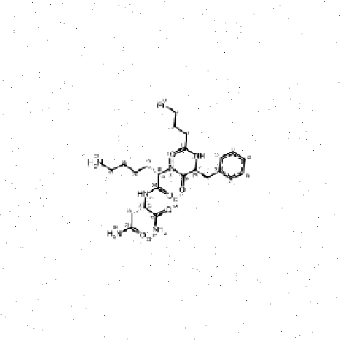 CC(C)CCCC(=O)N[C@@H](Cc1ccccc1)C(=O)N[C@@H](CCCCN)C(=O)N[C@@H](CC(N)=O)C(N)=O